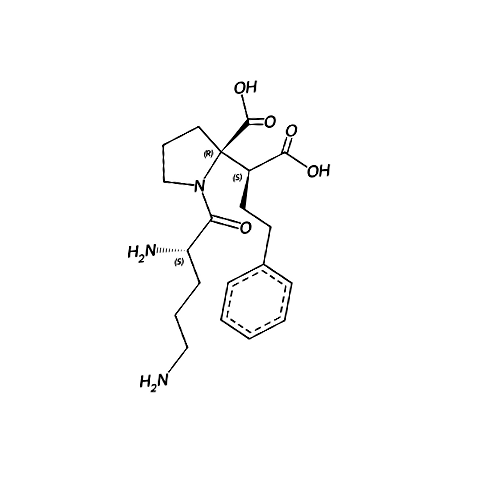 NCCC[C@H](N)C(=O)N1CCC[C@]1(C(=O)O)[C@H](CCc1ccccc1)C(=O)O